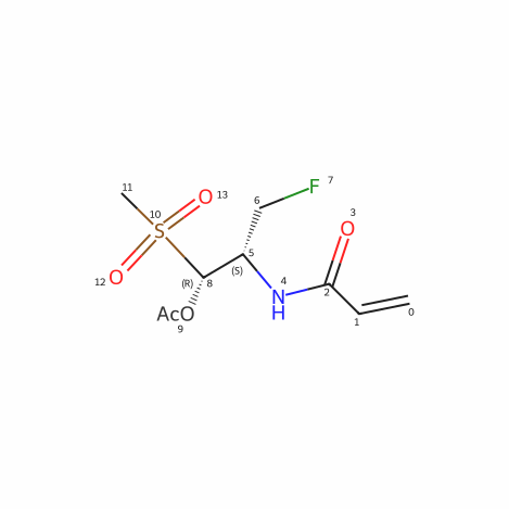 C=CC(=O)N[C@@H](CF)[C@H](OC(C)=O)S(C)(=O)=O